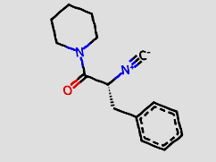 [C-]#[N+][C@H](Cc1ccccc1)C(=O)N1CCCCC1